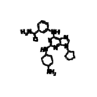 NC(=O)c1cccc(Nc2nc(NC3CCC(N)CC3)nc3c2ncn3C2CCCC2)c1